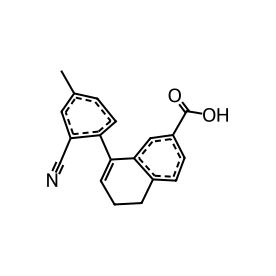 Cc1ccc(C2=CCCc3ccc(C(=O)O)cc32)c(C#N)c1